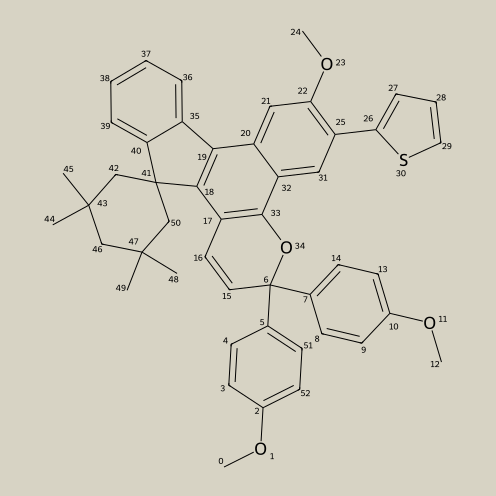 COc1ccc(C2(c3ccc(OC)cc3)C=Cc3c4c(c5cc(OC)c(-c6cccs6)cc5c3O2)-c2ccccc2C42CC(C)(C)CC(C)(C)C2)cc1